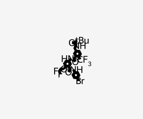 CC(C)(C)C(=O)NCc1ccc(C(F)(F)F)c(C(=O)Nc2ccc(OCC(F)F)c(C(=O)Nc3ccc(Br)cc3)c2)c1